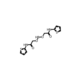 O=C(COBOCC(=O)Nc1cccs1)Nc1cccs1